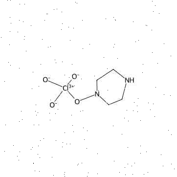 [O-][Cl+3]([O-])([O-])ON1CCNCC1